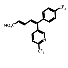 O=C(O)C=CC=C(c1ccc(C(F)(F)F)cc1)c1ccc(C(F)(F)F)nc1